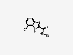 CCNC(=O)c1nc2cccc(Cl)c2[nH]1